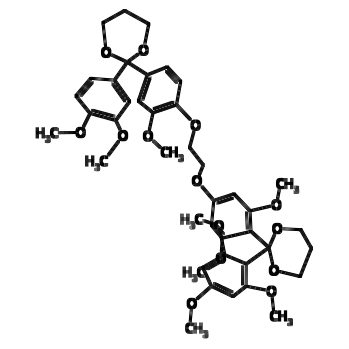 COc1cc(OC)c(C2(c3c(OC)cc(OCCOc4ccc(C5(c6ccc(OC)c(OC)c6)OCCCO5)cc4OC)cc3OC)OCCCO2)c(OC)c1